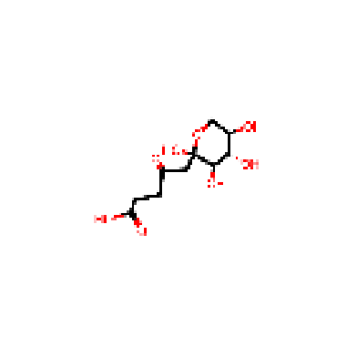 O=C(O)CCC(=O)C[C@]1(O)OC[C@@H](O)[C@H](O)[C@H]1O